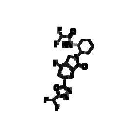 O=C(N[C@@H]1CCCCC1N1Cc2c(F)cc(-c3nnc(C(F)F)o3)cc2C1=O)C(F)F